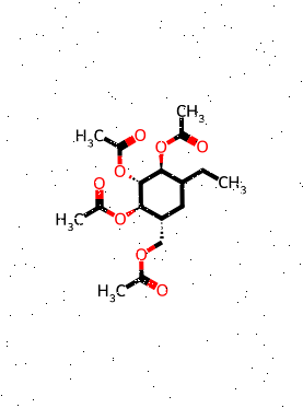 CCC1C[C@H](COC(C)=O)[C@@H](OC(C)=O)[C@H](OC(C)=O)[C@H]1OC(C)=O